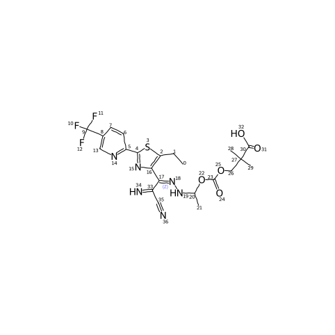 CCc1sc(-c2ccc(C(F)(F)F)cn2)nc1/C(=N/NC(C)OC(=O)OCC(C)(C)C(=O)O)C(=N)C#N